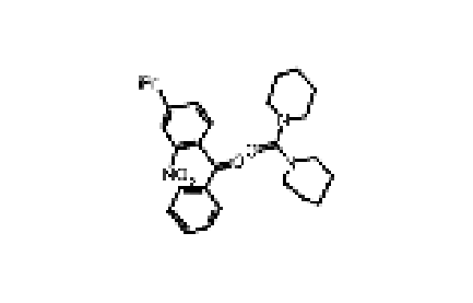 CC(C)c1ccc(C(=O)c2ccccc2)c([N+](=O)[O-])c1.O=C(N1CCCCC1)N1CCCCC1